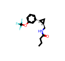 CCCC(=O)NC[C@@H]1C[C@H]1c1cccc(OC(F)(F)F)c1